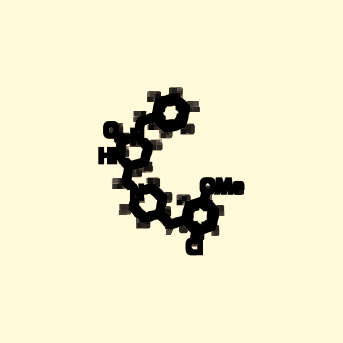 COc1ccc(Cl)c(CC2CCN(CC3CCN(Cc4ccccc4)C(=O)N3)CC2)c1